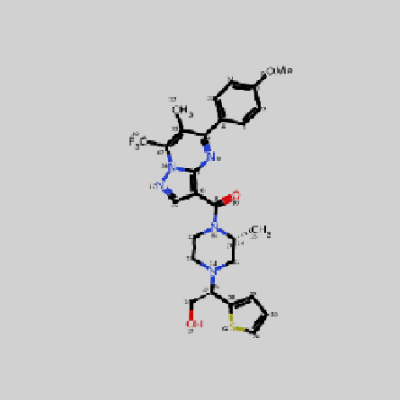 COc1ccc(-c2nc3c(C(=O)N4CCN([C@H](CO)c5cccs5)C[C@H]4C)cnn3c(C(F)(F)F)c2C)cc1